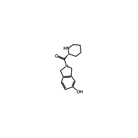 O=C([C@@H]1CCCCN1)N1Cc2ccc(O)cc2C1